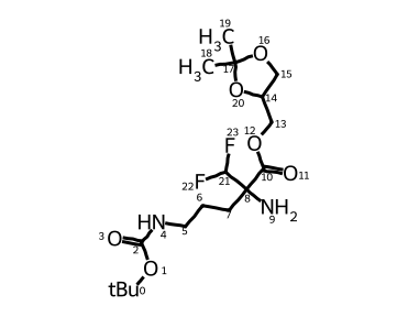 CC(C)(C)OC(=O)NCCCC(N)(C(=O)OCC1COC(C)(C)O1)C(F)F